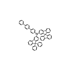 c1ccc(-c2ccc(-c3ccc(N(c4ccc5c(c4)-c4ccccc4C5(c4ccccc4)c4ccccc4)c4ccc5c(c4)C4(c6ccccc6-c6ccccc64)c4ccccc4-5)cc3)cc2)cc1